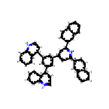 c1ccc2cc(-c3cc(-c4cc(-c5ccnc6ccccc56)cc(-c5ccnc6ccccc56)c4)cc(-c4ccc5ccccc5c4)n3)ccc2c1